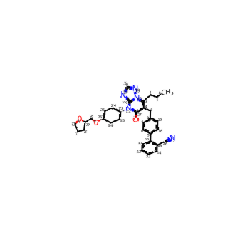 CCCc1c(Cc2ccc(-c3ccccc3C#N)cc2)c(=O)n([C@H]2CC[C@H](OCC3CCCO3)CC2)c2ncnn12